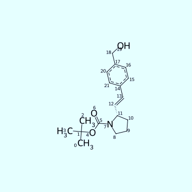 CC(C)(C)OC(=O)N1CCC[C@H]1/C=C/c1ccc(CO)cc1